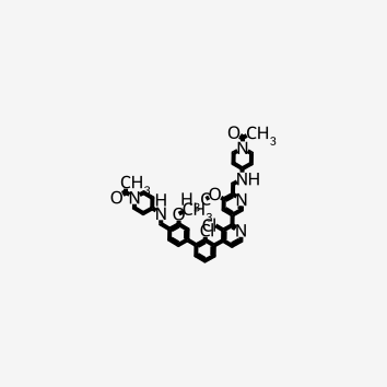 COc1cc(-c2cccc(-c3ccnc(-c4cnc(CNC5CCN(C(C)=O)CC5)c(OC)c4)c3Cl)c2Cl)ccc1CNC1CCN(C(C)=O)CC1